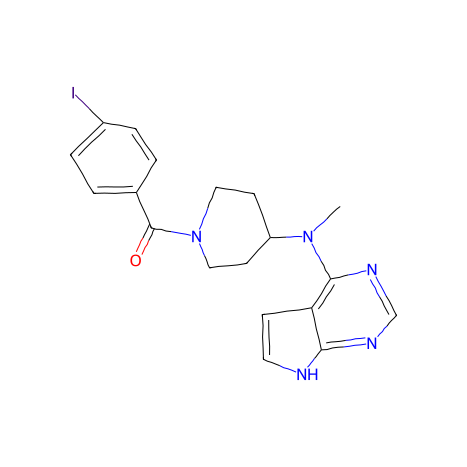 CN(c1ncnc2[nH]ccc12)C1CCN(C(=O)c2ccc(I)cc2)CC1